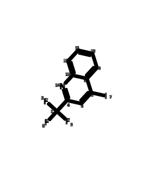 FC(F)(F)c1cc(I)c2ccccc2n1